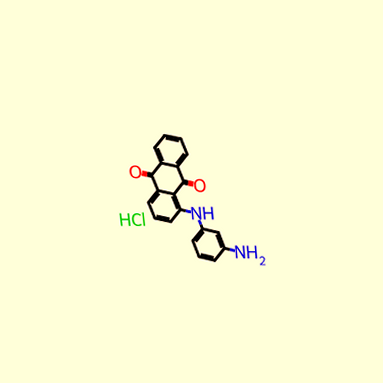 Cl.Nc1cccc(Nc2cccc3c2C(=O)c2ccccc2C3=O)c1